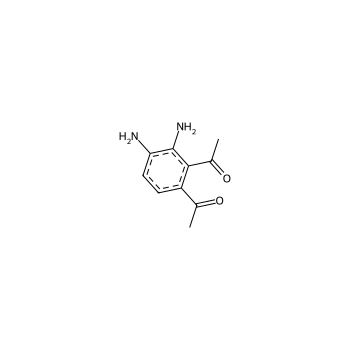 CC(=O)c1ccc(N)c(N)c1C(C)=O